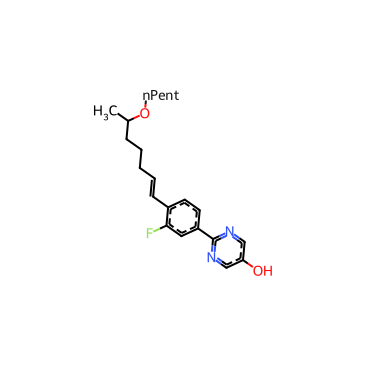 CCCCCOC(C)CCCC=Cc1ccc(-c2ncc(O)cn2)cc1F